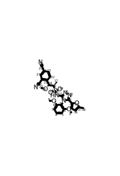 COc1cccc(OC)c1-n1c(NS(=O)(=O)[C@H](C)[C@@H](OC)c2ccc(C#N)cc2C#N)nnc1-c1ccc(C)o1